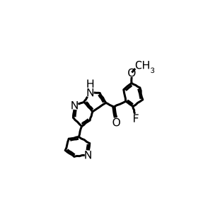 COc1ccc(F)c(C(=O)c2c[nH]c3ncc(-c4cccnc4)cc23)c1